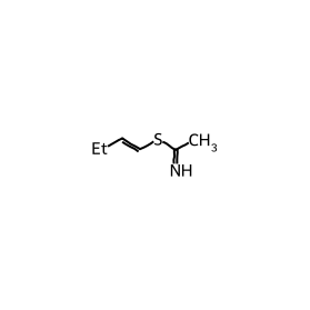 CC/C=C/SC(C)=N